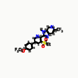 CCS(=O)(=O)c1cc(-c2ccc(OC(F)(F)F)cc2)cnc1-c1nc2cc(C(F)(F)F)ncc2n1C